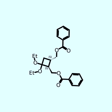 CCOC1(OCC)C[C@H](COC(=O)c2ccccc2)[C@H]1COC(=O)c1ccccc1